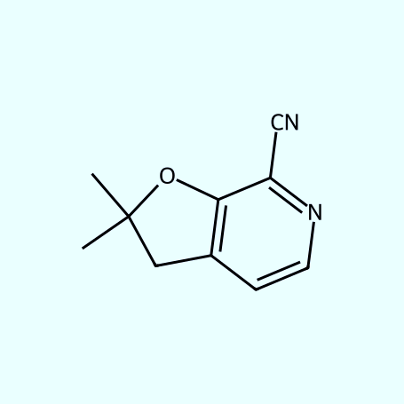 CC1(C)Cc2ccnc(C#N)c2O1